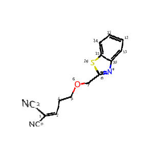 N#CC(C#N)=CCCOCc1nc2ccccc2s1